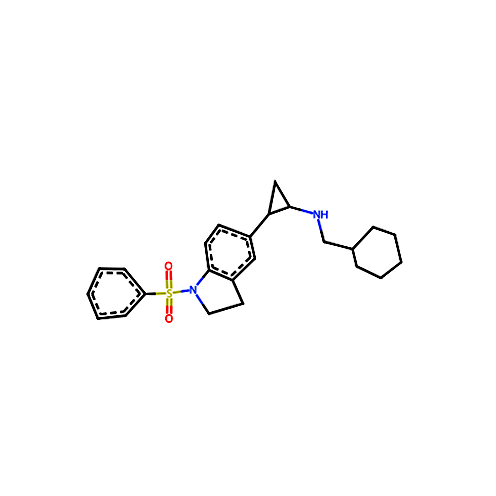 O=S(=O)(c1ccccc1)N1CCc2cc(C3CC3NCC3CCCCC3)ccc21